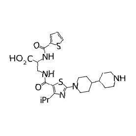 CC(C)c1nc(N2CCC(C3CCNCC3)CC2)sc1C(=O)NCC(NC(=O)c1cccs1)C(=O)O